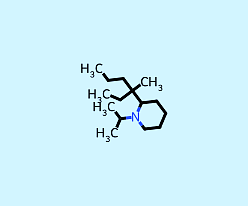 CCCC(C)(CC)C1CCCCN1C(C)C